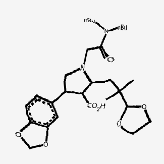 CCCCN(CCCC)C(=O)CN1CC(c2ccc3c(c2)OCO3)C(C(=O)O)C1CC(C)(C)C1OCCO1